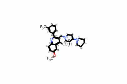 O=C(O)c1c(CN2CCC(N3CCCCC3)CC2)c(-c2cccc(C(F)(F)F)c2)nc2ccc(OC(F)(F)F)cc12